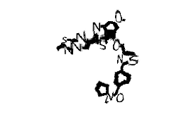 COc1cc(OCc2csc(-c3ccc(C(=O)N(C)C4CCCC4)cc3)n2)c2sc(-c3cn4nc(C)sc4n3)nc2c1